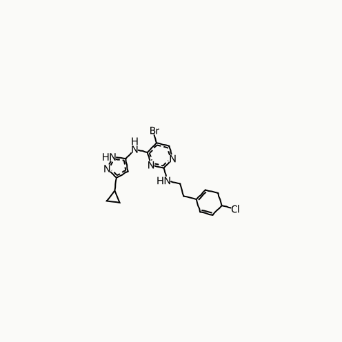 ClC1C=CC(CCNc2ncc(Br)c(Nc3cc(C4CC4)n[nH]3)n2)=CC1